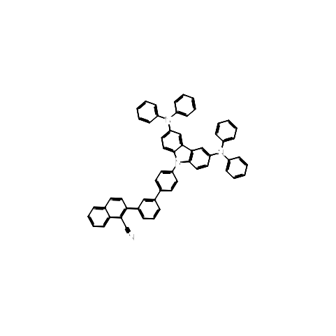 N#Cc1c(-c2cccc(-c3ccc(-n4c5ccc(N(c6ccccc6)c6ccccc6)cc5c5cc(N(c6ccccc6)c6ccccc6)ccc54)cc3)c2)ccc2ccccc12